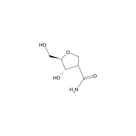 NC(=O)C1CO[C@H](CO)[C@H]1O